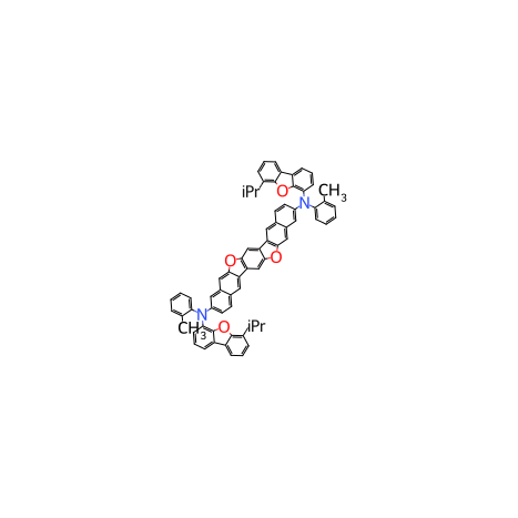 Cc1ccccc1N(c1ccc2cc3c(cc2c1)oc1cc2c(cc13)oc1cc3cc(N(c4ccccc4C)c4cccc5c4oc4c(C(C)C)cccc45)ccc3cc12)c1cccc2c1oc1c(C(C)C)cccc12